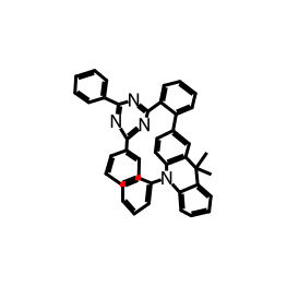 CC1(C)c2ccccc2N(c2ccccc2)c2ccc(-c3ccccc3-c3nc(-c4ccccc4)nc(-c4ccccc4)n3)cc21